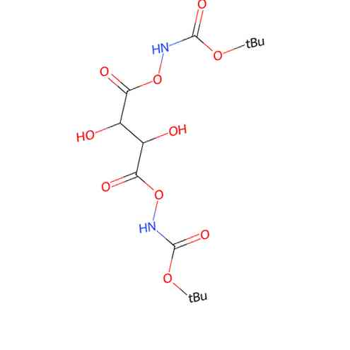 CC(C)(C)OC(=O)NOC(=O)C(O)C(O)C(=O)ONC(=O)OC(C)(C)C